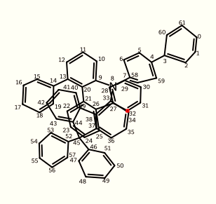 c1ccc(-c2ccc(N(c3cccc(-c4ccccc4)c3-c3ccccc3-c3ccccc3)c3cccc4c3-c3ccccc3C4(c3ccccc3)c3ccccc3)cc2)cc1